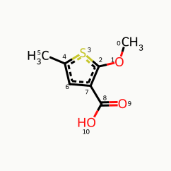 COc1sc(C)cc1C(=O)O